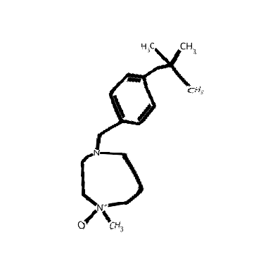 CC(C)(C)c1ccc(CN2CCC[N+](C)([O-])CC2)cc1